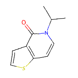 CC(C)n1ccc2sccc2c1=O